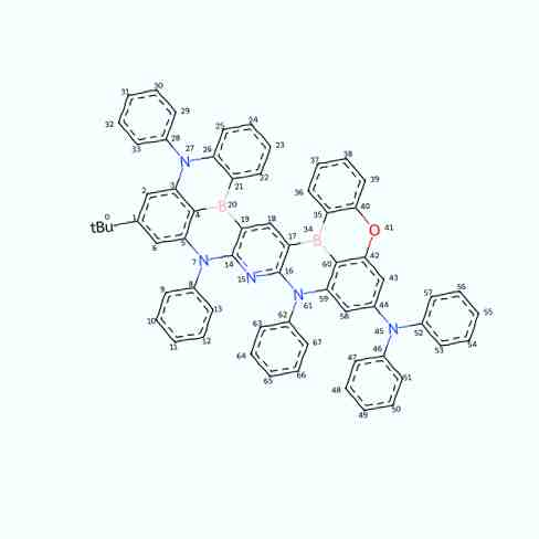 CC(C)(C)c1cc2c3c(c1)N(c1ccccc1)c1nc4c(cc1B3c1ccccc1N2c1ccccc1)B1c2ccccc2Oc2cc(N(c3ccccc3)c3ccccc3)cc(c21)N4c1ccccc1